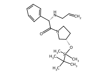 C=CCN[C@H](C(=O)N1CC[C@H](O[Si](C)(C)C(C)(C)C)C1)c1ccccc1